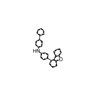 c1ccc(-c2ccc(Nc3ccc(-c4cccc5oc6ccccc6c45)cc3)cc2)cc1